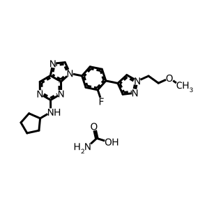 COCCn1cc(-c2ccc(-n3cnc4cnc(NC5CCCC5)nc43)cc2F)cn1.NC(=O)O